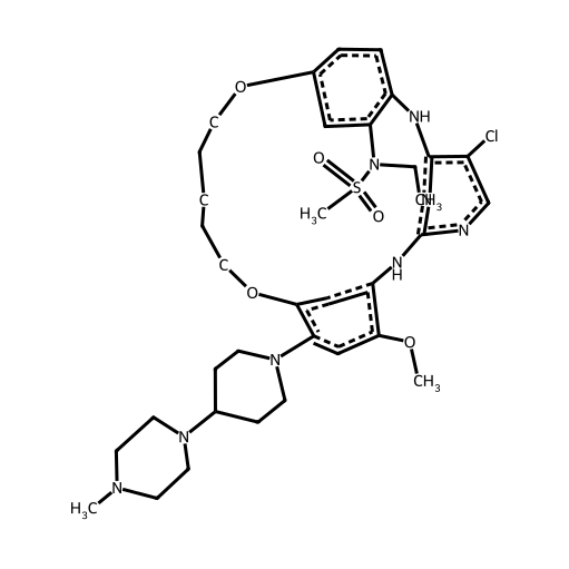 CCN(c1cc2ccc1Nc1nc(ncc1Cl)Nc1cc(c(N3CCC(N4CCN(C)CC4)CC3)cc1OC)OCCCCCO2)S(C)(=O)=O